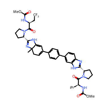 COC(=O)N[C@@H](CC(F)(F)F)C(=O)N1CCC[C@H]1C1=NC2(C)CC=C(c3ccc(-c4ccc5nc([C@@H]6CCCN6C(=O)[C@@H](NC(=O)OC)C(C)C)[nH]c5c4)cc3)C=C2N1